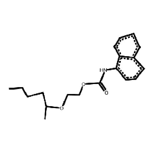 CCCCC(C)OCCOC(=O)Nc1cccc2ccccc12